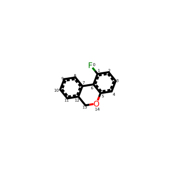 Fc1cccc2c1-c1ccccc1CO2